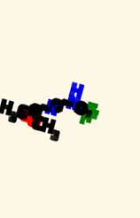 COc1ccc(CCN2CCC(CCNc3ccc(C(F)(F)F)cc3)CC2)cc1OC